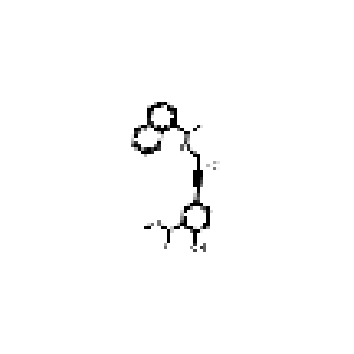 COC(=O)c1cc(C#CCN[C@H](C)c2cccc3ccccc23)ccc1O.Cl